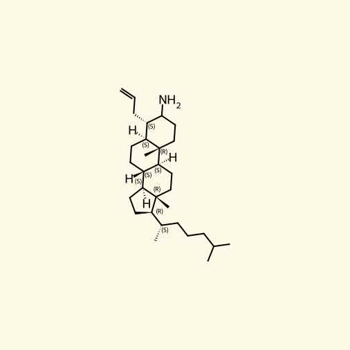 C=CC[C@@H]1C(N)CC[C@]2(C)[C@H]3CC[C@]4(C)[C@@H]([C@@H](C)CCCC(C)C)CC[C@H]4[C@@H]3CC[C@@H]12